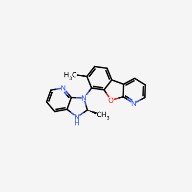 Cc1ccc2c(oc3ncccc32)c1N1c2ncccc2N[C@@H]1C